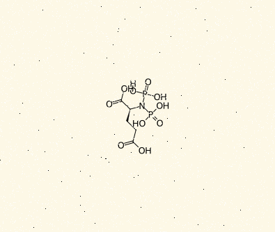 O=C(O)CC[C@@H](C(=O)O)N(P(=O)(O)O)P(=O)(O)O